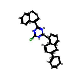 Clc1nc(-c2cccc3ccccc23)nc(-c2cccc3cc(-c4ccccc4)ccc23)n1